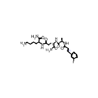 CC(NC(=O)/C=C/c1cccc(F)c1)C(=O)N[C@@H](CCC(=O)NC(CCCCN)C(N)=O)C(N)=O